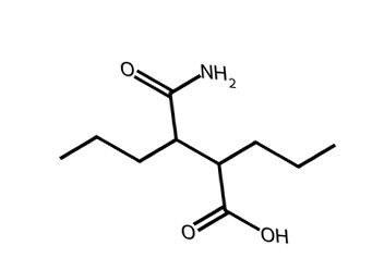 CCCC(C(N)=O)C(CCC)C(=O)O